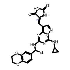 CCC(Nc1nc(NC2CC2)n2ncc(/C=C3\NC(=O)NC3=O)c2n1)c1ccc2c(c1)OCCO2